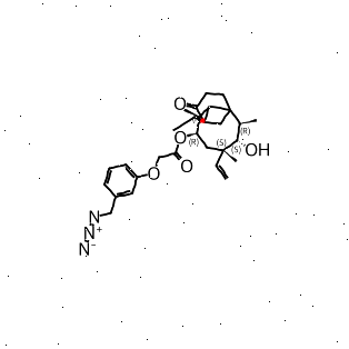 C=C[C@]1(C)C[C@@H](OC(=O)COc2cccc(CN=[N+]=[N-])c2)[C@]2(C)C(C)CC34CC(CCC3=O)(C42)[C@@H](C)[C@@H]1O